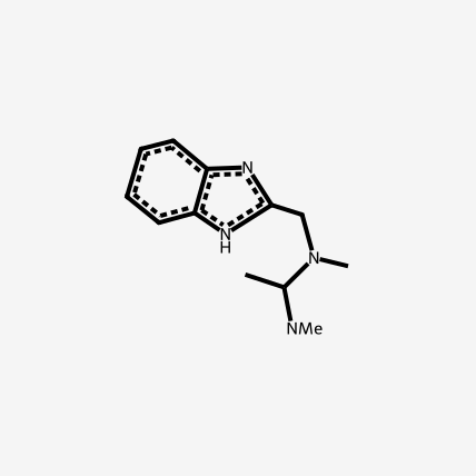 CNC(C)N(C)Cc1nc2ccccc2[nH]1